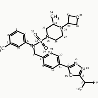 Cc1cccc(N(Cc2ccc(-c3nnc(C(F)F)o3)cn2)S(=O)(=O)N2CCN(C3COC3)[C@H](C)C2)c1